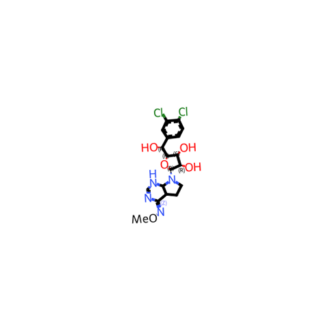 CO/N=C1\N=CNC2C1CCN2[C@@H]1O[C@H]([C@H](O)c2ccc(Cl)c(Cl)c2)[C@@H](O)[C@H]1O